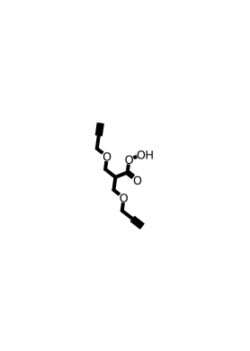 C#CCOCC(COCC#C)C(=O)OO